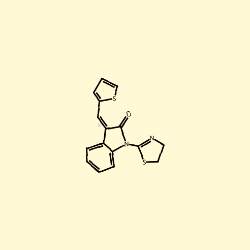 O=C1/C(=C\c2cccs2)c2ccccc2N1C1=NCCS1